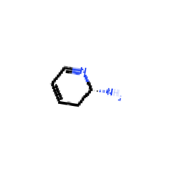 N[C@@H]1CC=CC=N1